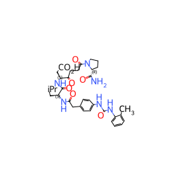 Cc1ccccc1NC(=O)Nc1ccc(CC(=O)N[C@@H](CC(C)C)C(=O)N[C@@H](CC(=O)O)C(=O)CCC(=O)N2CCC[C@@H]2C(N)=O)cc1